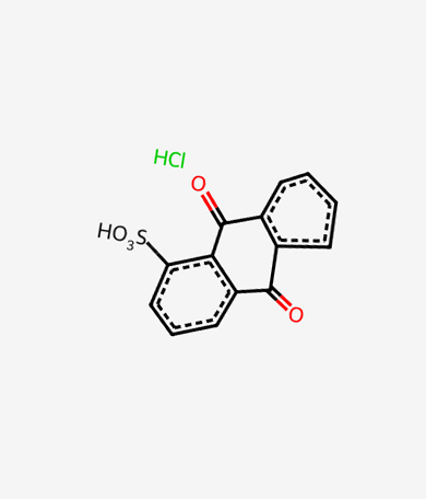 Cl.O=C1c2ccccc2C(=O)c2c1cccc2S(=O)(=O)O